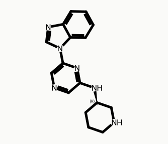 c1ccc2c(c1)ncn2-c1cncc(N[C@@H]2CCCNC2)n1